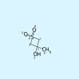 CC1(O)CS(=O)(=O)C1